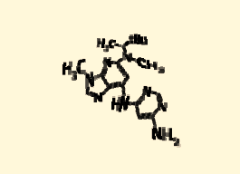 C[C@H](N(C)c1cc(Nc2cc(N)ncn2)c2ncn(C)c2n1)C(C)(C)C